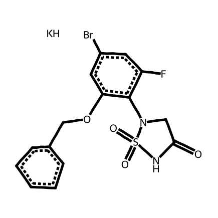 O=C1CN(c2c(F)cc(Br)cc2OCc2ccccc2)S(=O)(=O)N1.[KH]